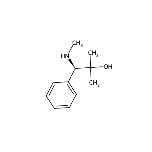 CN[C@H](c1ccccc1)C(C)(C)O